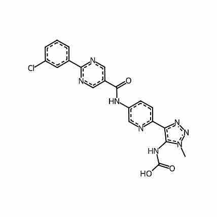 Cn1nnc(-c2ccc(NC(=O)c3cnc(-c4cccc(Cl)c4)nc3)cn2)c1NC(=O)O